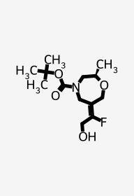 C[C@@H]1CN(C(=O)OC(C)(C)C)C/C(=C(/F)CO)CO1